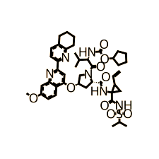 C=CC1CC1(NC(=O)[C@@H]1C[C@@H](Oc2cc(-c3ccc4c(n3)CCCC4)nc3cc(OC)ccc23)CN1C(=O)[C@@H](NC(=O)OC1CCCC1)C(C)C)C(=O)NS(=O)(=O)C(C)C